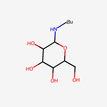 CCC(C)NC1OC(CO)C(O)C(O)C1O